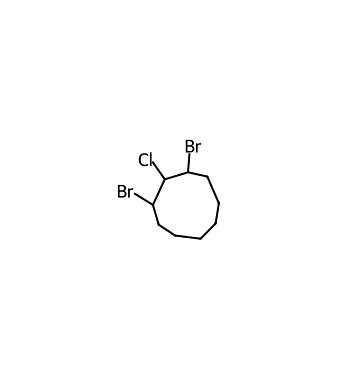 ClC1C(Br)CCCCCCC1Br